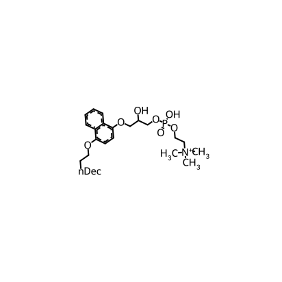 CCCCCCCCCCCCOc1ccc(OCC(O)COP(=O)(O)OCC[N+](C)(C)C)c2ccccc12